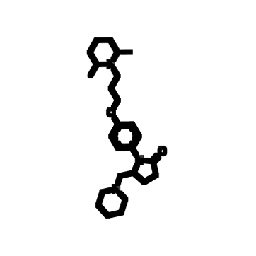 CC1CCCC(C)N1CCCOc1ccc(N2C(=O)CCC2CN2CCCCC2)cc1